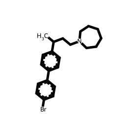 CC(CCN1CCCCCC1)c1ccc(-c2ccc(Br)cc2)cc1